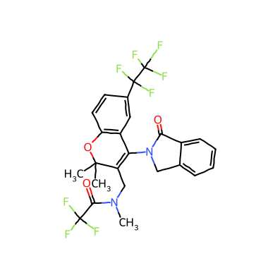 CN(CC1=C(N2Cc3ccccc3C2=O)c2cc(C(F)(F)C(F)(F)F)ccc2OC1(C)C)C(=O)C(F)(F)F